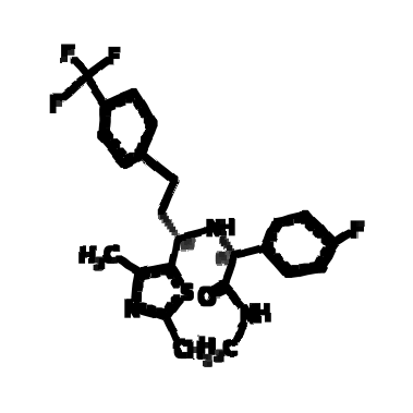 CNC(=O)[C@H](N[C@@H](CCc1ccc(C(F)(F)F)cc1)c1sc(C)nc1C)c1ccc(F)cc1